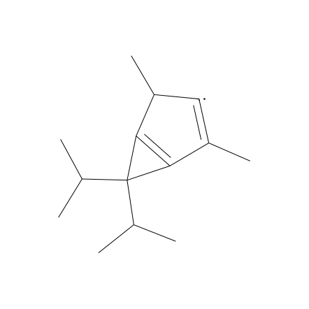 CC1=[C]C(C)C2=C1C2(C(C)C)C(C)C